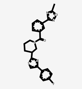 Cc1nc(-c2cccc(C(=O)N3CCCC(c4nc(-c5ccc(F)cc5)cs4)C3)c2)no1